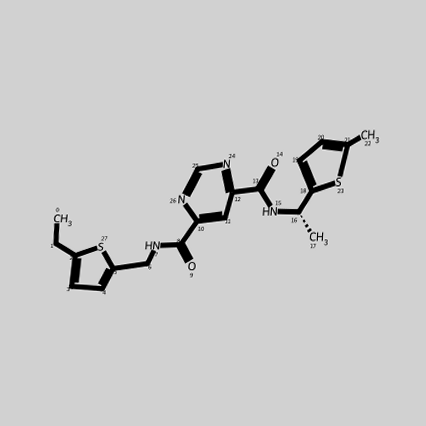 CCc1ccc(CNC(=O)c2cc(C(=O)N[C@@H](C)c3ccc(C)s3)ncn2)s1